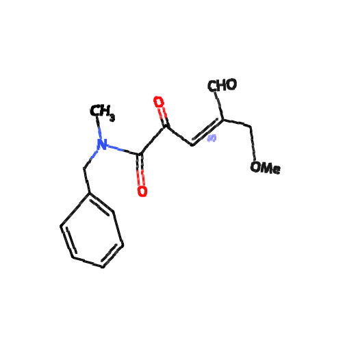 COC/C(C=O)=C/C(=O)C(=O)N(C)Cc1ccccc1